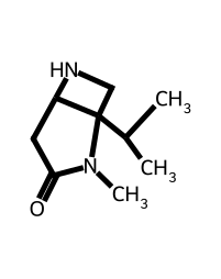 CC(C)C12CNC1CC(=O)N2C